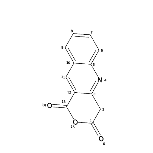 O=C1Cc2nc3ccccc3cc2C(=O)O1